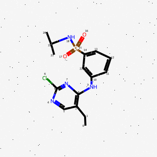 CCc1cnc(Cl)nc1Nc1cccc(S(=O)(=O)NC(C)C)c1